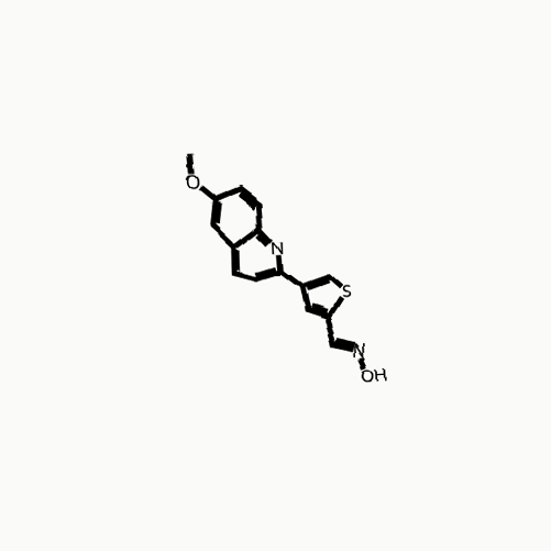 COc1ccc2nc(-c3csc(/C=N/O)c3)ccc2c1